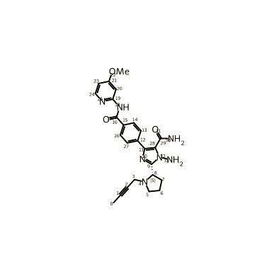 CC#CCN1CCC[C@H]1c1nc(-c2ccc(C(=O)Nc3cc(OC)ccn3)cc2)c(C(N)=O)n1N